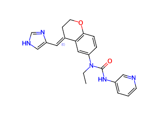 CCN(C(=O)Nc1cccnc1)c1ccc2c(c1)/C(=C/c1c[nH]cn1)CCO2